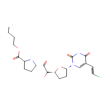 CCCCOC(=O)C1CC[C@@H](C(=O)C(O)[C@H]2O[C@@H](n3cc(/C=C/Br)c(=O)[nH]c3=O)C[C@@H]2O)N1